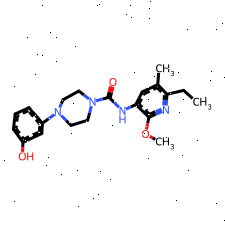 CCc1nc(OC)c(NC(=O)N2CCN(c3cccc(O)c3)CC2)cc1C